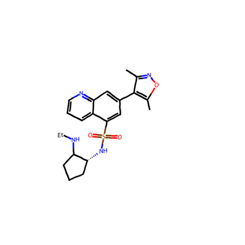 CCNC1CCC[C@H]1NS(=O)(=O)c1cc(-c2c(C)noc2C)cc2ncccc12